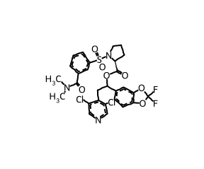 CN(C)C(=O)c1cccc(S(=O)(=O)N2CCC[C@H]2C(=O)OC(Cc2c(Cl)cncc2Cl)c2ccc3c(c2)OC(F)(F)O3)c1